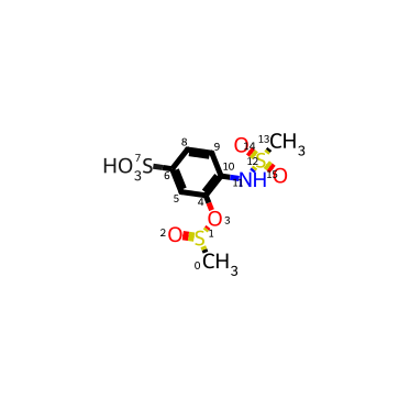 CS(=O)Oc1cc(S(=O)(=O)O)ccc1NS(C)(=O)=O